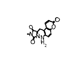 CN1C(=O)N=C(Cc2c(N)ccc3oc(=O)ccc23)C1=O